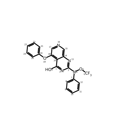 Oc1nc(N(OC(F)(F)F)c2ccccc2)nc2cncc(Oc3ccccc3)c12